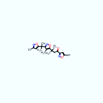 CCc1cc(C(C)(C)c2noc(C(C)(C)CC(=O)c3cc(C(C)C)on3)c2C)on1